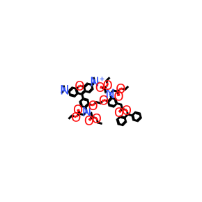 CCOC(=O)CN(CC(=O)OCC)c1ccc(-c2c3ccc(=[N+](C)C)cc-3oc3cc(N(C)C)ccc23)cc1OCCOc1ccc(CC(=O)OC(c2ccccc2)c2ccccc2)cc1N(CC(=O)OCC)CC(=O)OCC